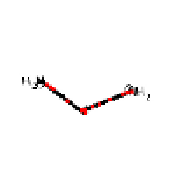 NC(=O)CCCCCCCCCCCCCCCCCCCCCCCCc1cccc(CCCCCCCCCCCCCCCCCCCCCCCCC(N)=O)c1